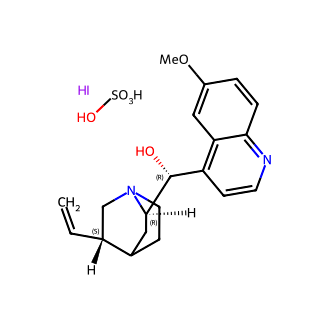 C=C[C@@H]1CN2CCC1C[C@@H]2[C@H](O)c1ccnc2ccc(OC)cc12.I.O=S(=O)(O)O